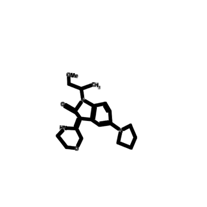 COCC(C)N1C(=O)/C(=C2/COCCN2)c2cc(N3CCCC3)ccc21